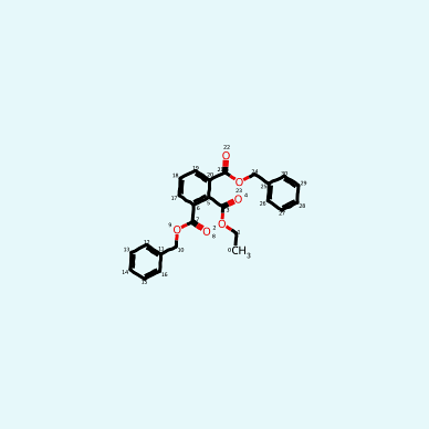 CCOC(=O)c1c(C(=O)OCc2ccccc2)cccc1C(=O)OCc1ccccc1